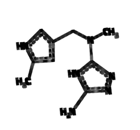 Cc1cc(CN(C)c2nnc(N)[nH]2)c[nH]1